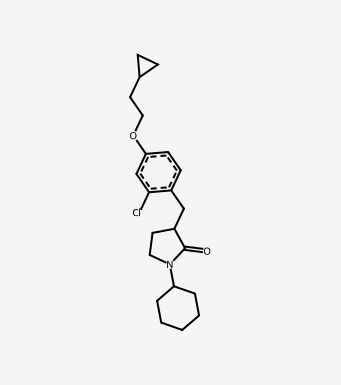 O=C1C(Cc2ccc(OCCC3CC3)cc2Cl)CCN1C1CCCCC1